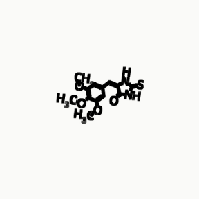 COc1cc(C=C2NC(=S)NC2=O)cc(OC)c1OC